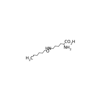 C=CCCCCONCCCC[C@H](N)C(=O)O